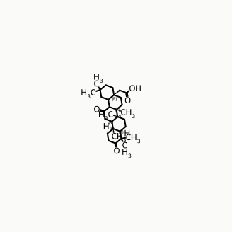 CC1(C)CC[C@]2(CC(=O)O)CC[C@]3(C)C(C(=O)C[C@@H]4[C@@]5(C)CCC(=O)C(C)(C)[C@@H]5CC[C@]43C)C2C1